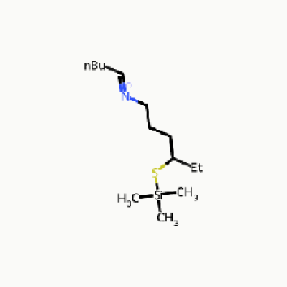 CCCC/C=N/CCCC(CC)S[Si](C)(C)C